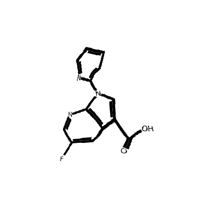 O=C(O)c1cn(-c2ccccn2)c2ncc(F)cc12